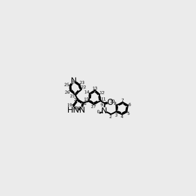 CN(Cc1ccccc1)C(=O)c1cccc(-c2n[nH]cc2-c2ccncc2)c1